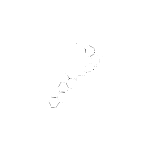 N#Cc1ccc2c(c1)C1CN(CCNC(=O)c3ccc(-c4ccccc4)cc3)CC1CO2